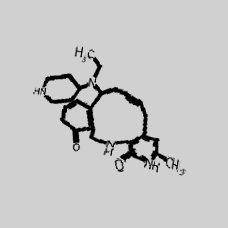 CCN(C1CCNCC1)C1C/C=C\Cc2cc(C)[nH]c(=O)c2NCC2=C1C=CCC2=O